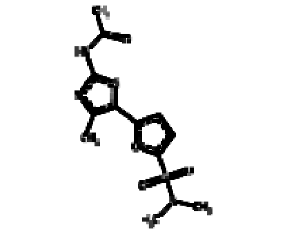 CC(=O)Nc1nc(C)c(-c2ccc(S(=O)(=O)N(C)C)o2)s1